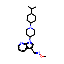 CON=Cc1cn(C2CCN(C3CCC(C(C)C)CC3)CC2)c2ncccc12